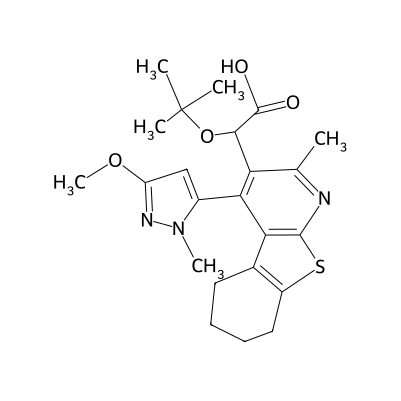 COc1cc(-c2c(C(OC(C)(C)C)C(=O)O)c(C)nc3sc4c(c23)CCCC4)n(C)n1